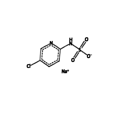 O=S(=O)([O-])Nc1ccc(Cl)cn1.[Na+]